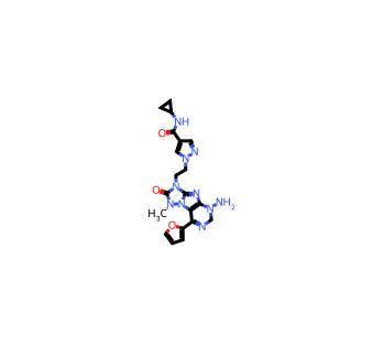 Cn1c(=O)n(CCn2cc(C(=O)NC3CC3)cn2)c2nc3c(n21)C(c1ccco1)=NCN3N